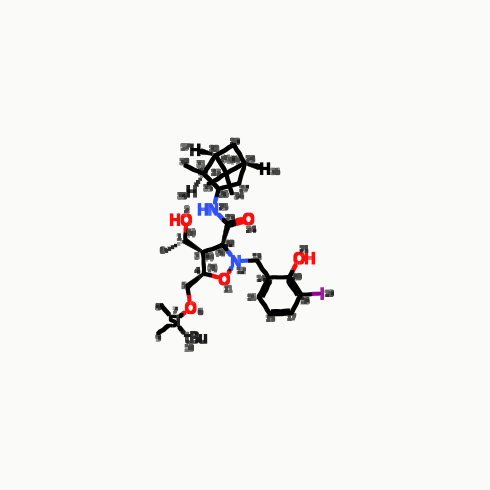 C[C@H](O)[C@@H]1[C@H](CO[Si](C)(C)C(C)(C)C)ON(Cc2cccc(I)c2O)[C@@H]1C(=O)NC1C[C@H]2C[C@@H]([C@@H]1C)C2(C)C